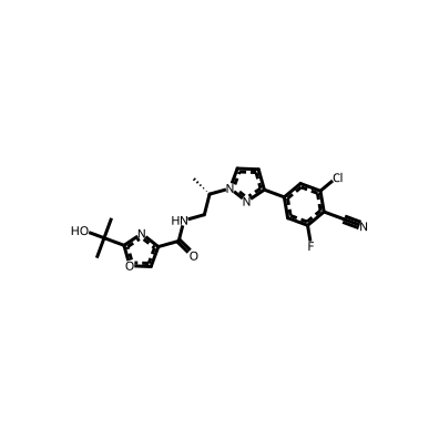 C[C@@H](CNC(=O)c1coc(C(C)(C)O)n1)n1ccc(-c2cc(F)c(C#N)c(Cl)c2)n1